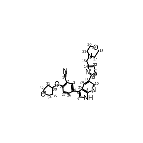 N#Cc1cc(-c2c[nH]c3ncc(-c4nc(CN5CCOCC5)cs4)cc23)ccc1OC1CCOCC1